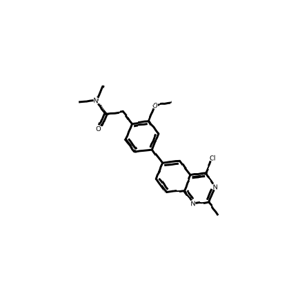 COc1cc(-c2ccc3nc(C)nc(Cl)c3c2)ccc1CC(=O)N(C)C